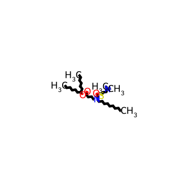 CCCCCCCCCCN(CCCC(=O)OC(CCCCCC)CCCCCC)C(=O)SCCN(C)C